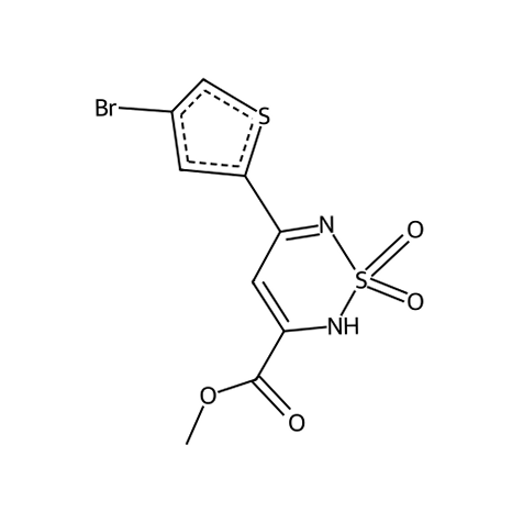 COC(=O)C1=CC(c2cc(Br)cs2)=NS(=O)(=O)N1